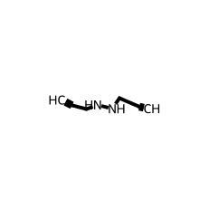 C#CCNNCC#C